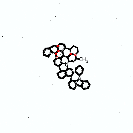 CC1C=C(N(c2ccc(-c3cccc4c5ccccc5n(-c5ccccc5)c34)cc2)c2cc(-c3cccc4ccccc34)ccc2-c2ccccc2)C(c2cccc3cccc(C4CCCCC4)c23)=CC1